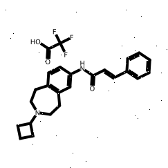 O=C(C=Cc1ccccc1)Nc1ccc2c(c1)CCN(C1CCC1)CC2.O=C(O)C(F)(F)F